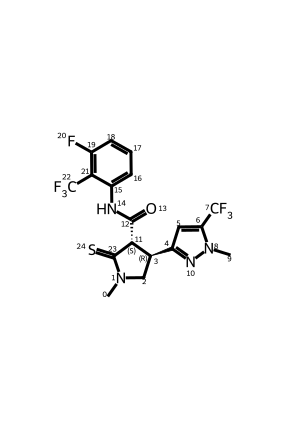 CN1C[C@H](c2cc(C(F)(F)F)n(C)n2)[C@@H](C(=O)Nc2cccc(F)c2C(F)(F)F)C1=S